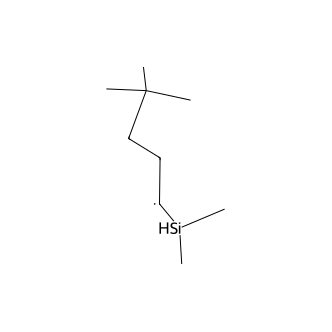 C[SiH](C)[CH]CCC(C)(C)C